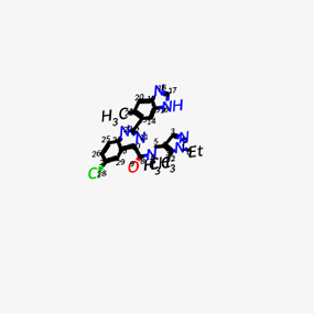 CCn1ncc(CN(C)C(=O)c2nc(-c3cc4[nH]cnc4cc3C)nc3ccc(Cl)cc23)c1C